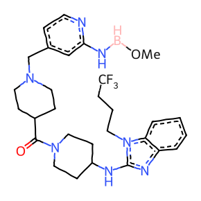 COBNc1cc(CN2CCC(C(=O)N3CCC(Nc4nc5ccccc5n4CCCC(F)(F)F)CC3)CC2)ccn1